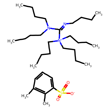 CCCCN=C(N(CCCC)CCCC)[N+](CCCC)(CCCC)CCCC.Cc1cccc(S(=O)(=O)[O-])c1C